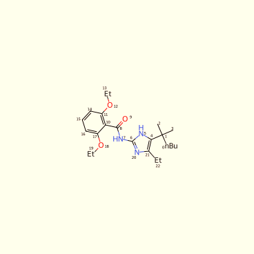 CCCCC(C)(C)c1[nH]c(NC(=O)c2c(OCC)cccc2OCC)nc1CC